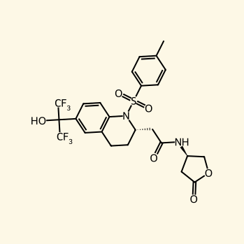 Cc1ccc(S(=O)(=O)N2c3ccc(C(O)(C(F)(F)F)C(F)(F)F)cc3CC[C@H]2CC(=O)N[C@H]2COC(=O)C2)cc1